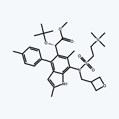 COC(=O)[C@@H](OC(C)(C)C)c1c(C)c(N(CC2COC2)S(=O)(=O)CC[Si](C)(C)C)c2[nH]c(C)cc2c1-c1ccc(C)cc1